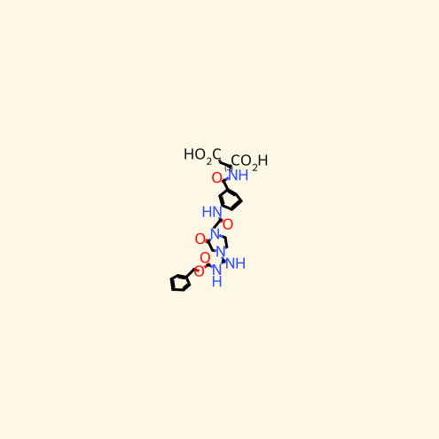 N=C(NC(=O)OCc1ccccc1)N1CCN(CC(=O)Nc2cccc(C(=O)N[C@@H](CC(=O)O)C(=O)O)c2)C(=O)C1